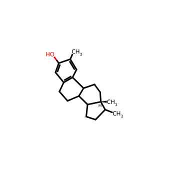 Cc1cc2c(cc1O)CCC1C2CC[C@]2(C)C(C)CCC12